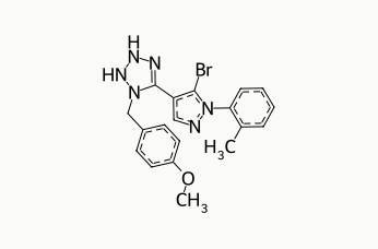 COc1ccc(CN2NNN=C2c2cnn(-c3ccccc3C)c2Br)cc1